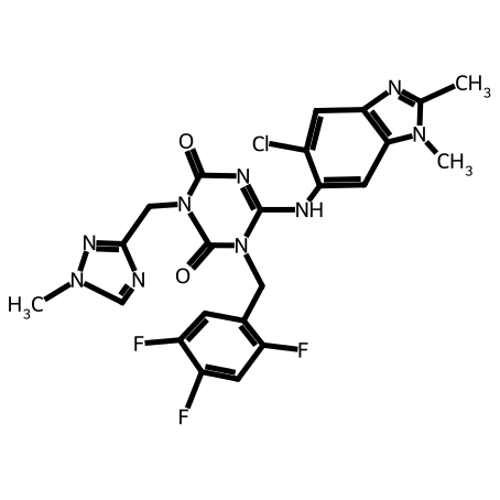 Cc1nc2cc(Cl)c(Nc3nc(=O)n(Cc4ncn(C)n4)c(=O)n3Cc3cc(F)c(F)cc3F)cc2n1C